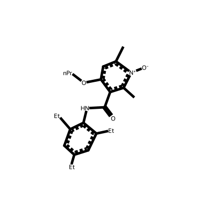 CCCOc1cc(C)[n+]([O-])c(C)c1C(=O)Nc1c(CC)cc(CC)cc1CC